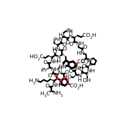 CC(C)C[C@H](NC(=O)[C@H](CC(C)C)NC(=O)[C@H](Cc1c[nH]c2ccccc12)NC(=O)[C@H](CCC(=O)O)NC(=O)[C@@H](NC(=O)[C@H](Cc1ccccc1)NC(=O)[C@H](CCC(=O)O)NC(=O)[C@H](CCCCN)NC(=O)[C@H](C)N)C(C)C)C(=O)N[C@@H](CCC(=O)O)C(=O)NCC(=O)NCC(=O)N1CCC[C@H]1C(=O)N[C@@H](CO)C(=O)N[C@@H](CO)C(=O)NCC(=O)O